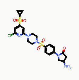 NC1CC(=O)N(c2ccc(S(=O)(=O)N3CCN(c4cc(S(=O)(=O)C5CC5)cc(Cl)n4)CC3)cc2)C1